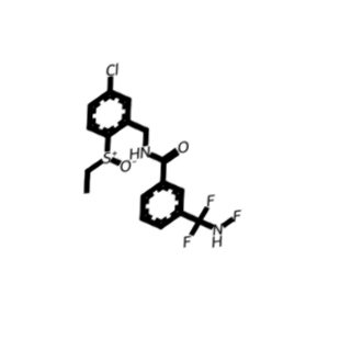 CC[S+]([O-])c1ccc(Cl)cc1CNC(=O)c1cccc(C(F)(F)NF)c1